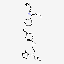 CC(CCOc1ccc(Oc2ccc(/C(N)=C/C=N)cc2)cc1)n1cccn1